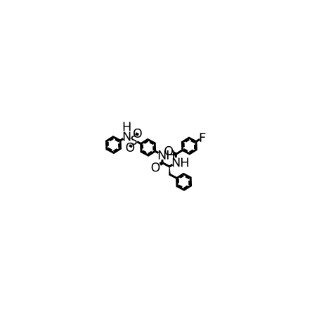 O=C(N[C@@H](Cc1ccccc1)C(=O)Nc1ccc(S(=O)(=O)Nc2ccccc2)cc1)c1ccc(F)cc1